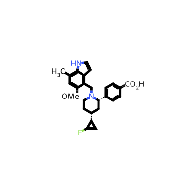 COc1cc(C)c2[nH]ccc2c1CN1CC[C@@H](C2CC2F)C[C@H]1c1ccc(C(=O)O)cc1